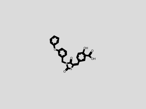 O=C(O)c1cc(C=C2SC(=O)N(Cc3cccc(Oc4ccccc4)c3)C2=O)ccc1O